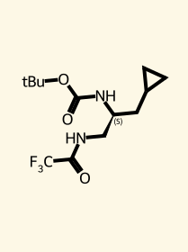 CC(C)(C)OC(=O)N[C@H](CNC(=O)C(F)(F)F)CC1CC1